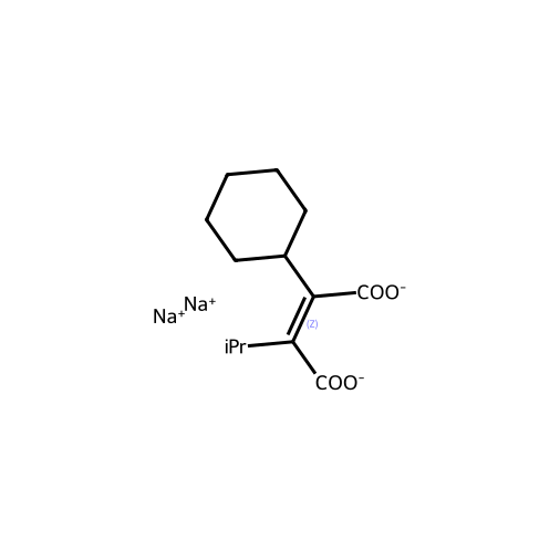 CC(C)/C(C(=O)[O-])=C(/C(=O)[O-])C1CCCCC1.[Na+].[Na+]